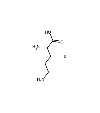 NCCC[C@H](N)C(=O)O.[K]